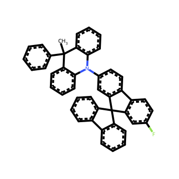 CC1(c2ccccc2)c2ccccc2N(c2ccc3c(c2)C2(c4ccccc4-c4ccccc42)c2cc(F)ccc2-3)c2ccccc21